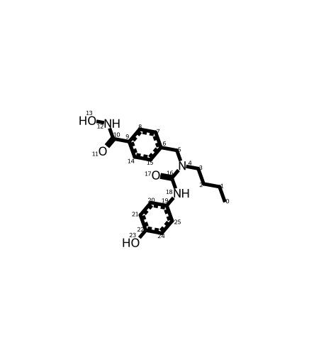 CCCCN(Cc1ccc(C(=O)NO)cc1)C(=O)Nc1ccc(O)cc1